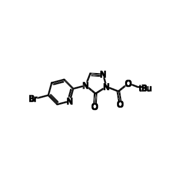 CC(C)(C)OC(=O)n1ncn(-c2ccc(Br)cn2)c1=O